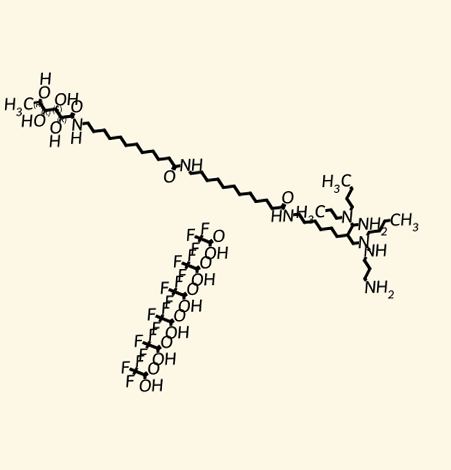 CCCCN(CC(CCCCCCNC(=O)CCCCCCCCCCCNC(=O)CCCCCCCCCCCNC(=O)[C@H](O)[C@@H](O)[C@H](O)[C@@H](C)O)C(N)N(CCC)CCCC)NCCCN.O=C(O)C(F)(F)F.O=C(O)C(F)(F)F.O=C(O)C(F)(F)F.O=C(O)C(F)(F)F.O=C(O)C(F)(F)F.O=C(O)C(F)(F)F